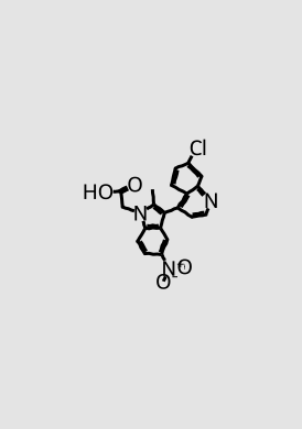 Cc1c(-c2ccnc3cc(Cl)ccc23)c2cc([N+](=O)[O-])ccc2n1CC(=O)O